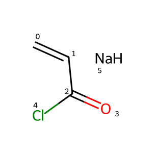 C=CC(=O)Cl.[NaH]